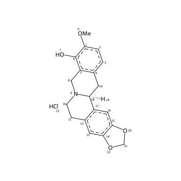 COc1ccc2c(c1O)CN1CCc3cc4c(cc3[C@@H]1C2)OCO4.Cl